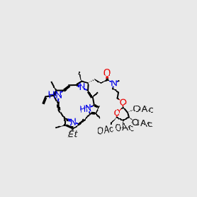 C=Cc1c(C)c2cc3nc(c(C)c4cc(C)c(cc5nc(cc1[nH]2)C(C)=C5CC)[nH]4)[C@@H](CCC(=O)N(C)CCCO[C@@H]1O[C@H](COC(C)=O)[C@@H](OC(C)=O)[C@H](OC(C)=O)[C@H]1OC(C)=O)[C@@H]3C